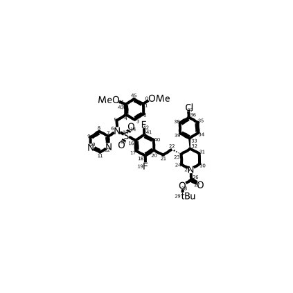 COc1ccc(CN(c2ccncn2)S(=O)(=O)c2cc(F)c(CC[C@H]3CN(C(=O)OC(C)(C)C)CC[C@@H]3c3ccc(Cl)cc3)cc2F)c(OC)c1